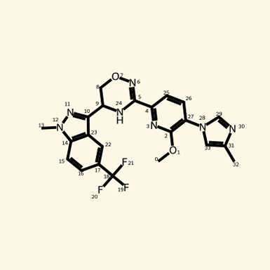 COc1nc(C2=NOCC(c3nn(C)c4ccc(C(F)(F)F)cc34)N2)ccc1-n1cnc(C)c1